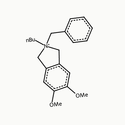 CCCC[N+]1(Cc2ccccc2)Cc2cc(OC)c(OC)cc2C1